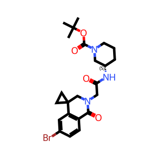 CC(C)(C)OC(=O)N1CCC[C@H](NC(=O)CN2CC3(CC3)c3cc(Br)ccc3C2=O)C1